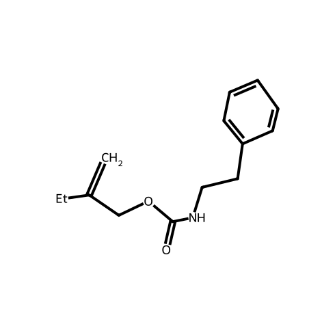 C=C(CC)COC(=O)NCCc1ccccc1